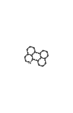 c1cc2cccc3c4nccc5cccc(c(c1)c23)c54